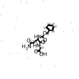 NC(=O)CCC(NC(=O)OCc1ccccc1)C(=O)NCC(=O)O